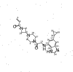 C=CC(=O)N1CC(N2CCN(C(=O)CNc3cc(C4CC4)cc4nc[nH]c34)CC2)C1